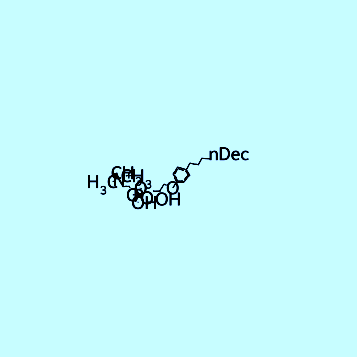 CCCCCCCCCCCCCCc1ccc(OCC(O)COP(=O)(O)OCC[N+](C)(C)C)cc1